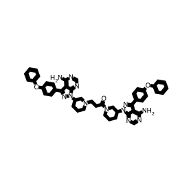 Nc1ncnc2c1c(-c1ccc(Oc3ccccc3)cc1)nn2C1CCCN(CCC(=O)N2CCCC(n3nc(-c4ccc(Oc5ccccc5)cc4)c4c(N)ncnc43)C2)C1